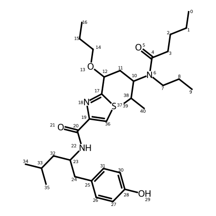 CCCCC(=O)N(CCC)C(CC(OCCC)c1nc(C(=O)NC(Cc2ccc(O)cc2)CC(C)C)cs1)C(C)C